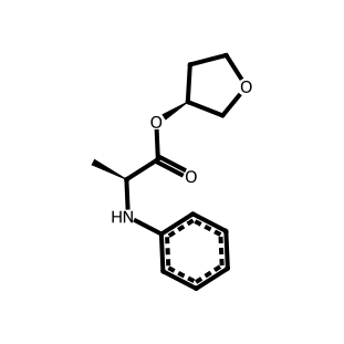 C[C@H](Nc1ccccc1)C(=O)O[C@H]1CCOC1